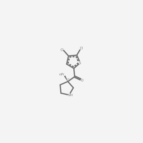 CCC[C@]1(C(=O)c2cc(Cl)c(Cl)s2)CCNC1